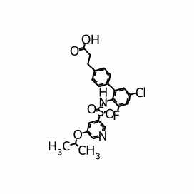 CC(C)Oc1cncc(S(=O)(=O)Nc2c(F)cc(Cl)cc2-c2ccc(CCC(=O)O)cc2)c1